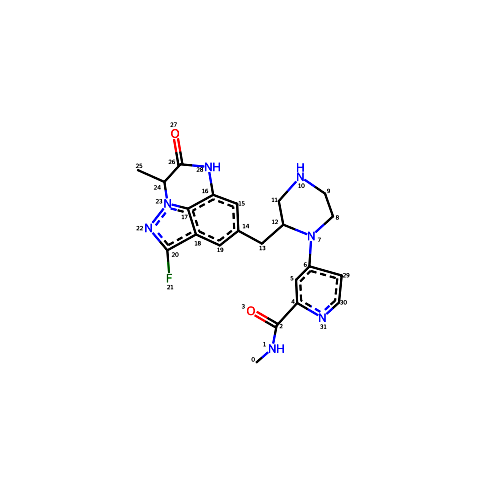 CNC(=O)c1cc(N2CCNCC2Cc2cc3c4c(c2)c(F)nn4C(C)C(=O)N3)ccn1